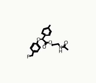 CC(=O)NCCOC(=O)C(Oc1ccc(CF)cc1)c1ccc(C)cc1